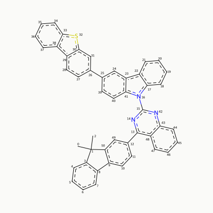 CC1(C)c2ccccc2-c2ccc(-c3nc(-n4c5ccccc5c5cc(-c6ccc7c(c6)sc6ccccc67)ccc54)nc4ccccc34)cc21